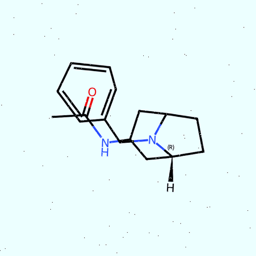 CC(=O)NC1CC2CC[C@H](C1)N2Cc1ccccc1